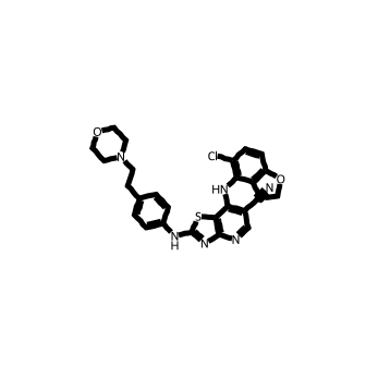 N#Cc1cnc2nc(Nc3ccc(CCN4CCOCC4)cc3)sc2c1Nc1c(Cl)ccc2c1OCO2